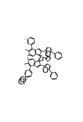 Cc1cc2c(c(-c3ccccc3)c1C)C=C(c1ccc(-c3ccccc3)o1)[CH]2[Zr+2](=[C]1CCC1)[CH]1C(c2ccc(-c3ccccc3)o2)=Cc2c1cc(C)c(C)c2-c1ccccc1.[Cl-].[Cl-]